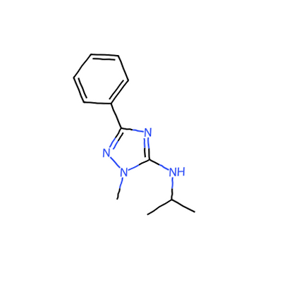 CC(C)Nc1nc(-c2ccccc2)nn1C